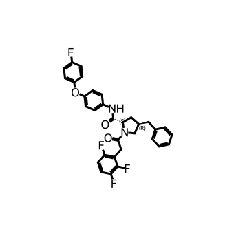 O=C(Nc1ccc(Oc2ccc(F)cc2)cc1)[C@@H]1C[C@@H](Cc2ccccc2)CN1C(=O)Cc1c(F)ccc(F)c1F